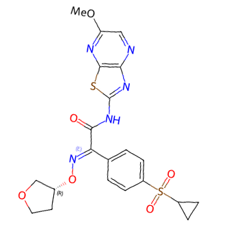 COc1cnc2nc(NC(=O)/C(=N/O[C@@H]3CCOC3)c3ccc(S(=O)(=O)C4CC4)cc3)sc2n1